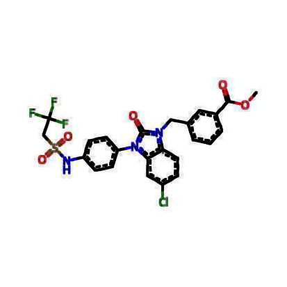 COC(=O)c1cccc(Cn2c(=O)n(-c3ccc(NS(=O)(=O)CC(F)(F)F)cc3)c3cc(Cl)ccc32)c1